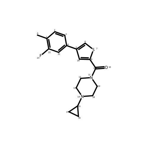 Cc1ccc(-c2csc(C(=O)N3CCN(C4CC4)CC3)c2)cc1F